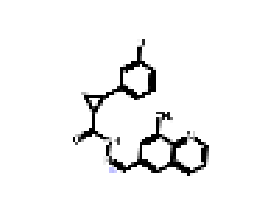 Cc1cc(/C=N\NC(=O)C2CC2c2cccc(Cl)c2)cc2cccnc12